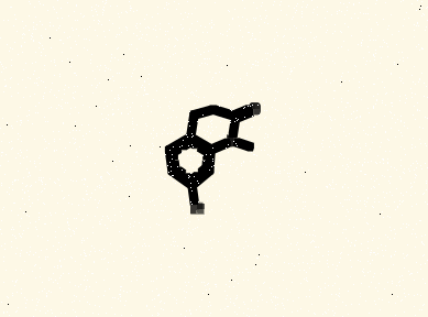 CCc1ccc2c(c1)N(C)C(=O)CC2